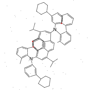 Cc1cccc(-c2ccccc2)c1N(c1cccc(C2CCCCC2)c1)c1cc(C(C)C)c2ccc3c(N(c4cccc(C5CCCCC5)c4)c4c(C)cccc4-c4ccccc4)cc(C(C)C)c4ccc1c2c43